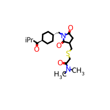 CC(C)C(=O)[C@H]1CC[C@H](CN2C(=O)CC(CSCC(=O)N(C)C)C2=O)CC1